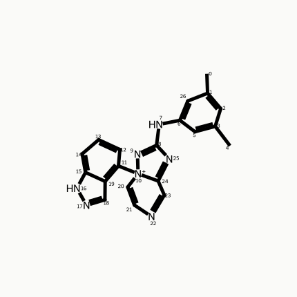 Cc1cc(C)cc(NC2=N[N+]3(c4cccc5[nH]ncc45)C=CN=CC3=N2)c1